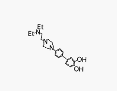 CCN(CC)CCN1CCN(c2ccc(-c3ccc(O)c(O)c3)cc2)CC1